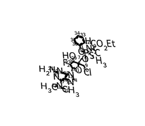 CCOC(=O)[C@@H](C)N[P@](=S)(OC[C@@]1(CCl)O[C@@H](n2cnc3c(N(C)C)nc(N)nc32)[C@H](F)[C@@H]1O)Oc1ccccc1